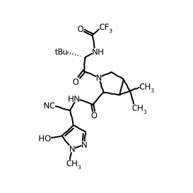 Cn1ncc(C(C#N)NC(=O)C2C3C(CN2C(=O)[C@@H](NC(=O)C(F)(F)F)C(C)(C)C)C3(C)C)c1O